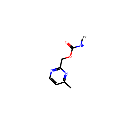 Cc1ccnc(COC(=O)NC(C)C)n1